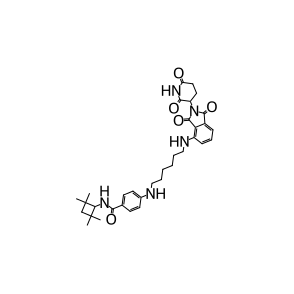 CC1(C)CC(C)(C)C1NC(=O)c1ccc(NCCCCCCNc2cccc3c2C(=O)N(C2CCC(=O)NC2=O)C3=O)cc1